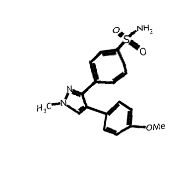 COc1ccc(-c2cn(C)nc2-c2ccc(S(N)(=O)=O)cc2)cc1